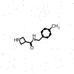 Cc1ccc(CNC(=O)C2CNC2)cc1